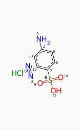 Cl.N#N.Nc1ccc(S(=O)(=O)O)cc1